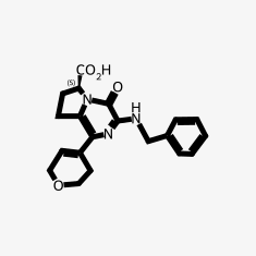 O=C(O)[C@@H]1CCc2c(C3=CCOCC3)nc(NCc3ccccc3)c(=O)n21